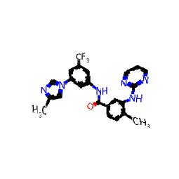 Cc1cn(-c2cc(NC(=O)c3ccc(C)c(Nc4ncccn4)c3)cc(C(F)(F)F)c2)cn1